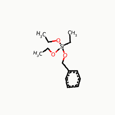 CCO[Si](CC)(OCC)OCc1ccccc1